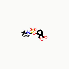 CSC(C)(C)CN=CS(=O)(=O)Oc1cccc2c1COC2=O